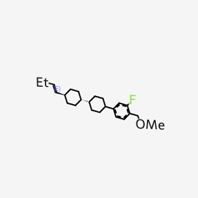 CC/C=C/[C@H]1CC[C@H](C2CCC(c3ccc(COC)c(F)c3)CC2)CC1